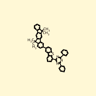 CC1(C)c2ccccc2-c2cc3c(cc21)-c1cc(-c2ccc4sc5c(-c6nc(-c7ccccc7)nc(-c7ccccc7)n6)cccc5c4c2)ccc1C3(C)C